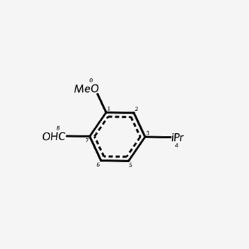 COc1cc(C(C)C)ccc1C=O